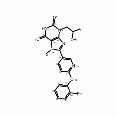 CC(O)Cn1c(=O)[nH]c(=O)c2c1nc(-c1ccc(Oc3ccccc3F)nc1)n2C